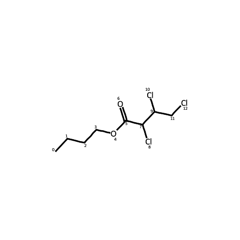 CCCCOC(=O)C(Cl)C(Cl)CCl